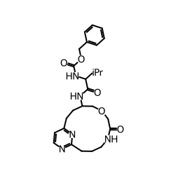 CC(C)C(NC(=O)OCc1ccccc1)C(=O)NC1CCc2ccnc(n2)CCCNC(=O)COC1